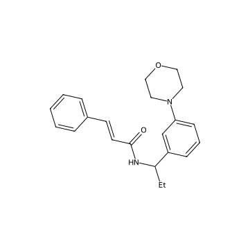 CCC(NC(=O)C=Cc1ccccc1)c1cccc(N2CCOCC2)c1